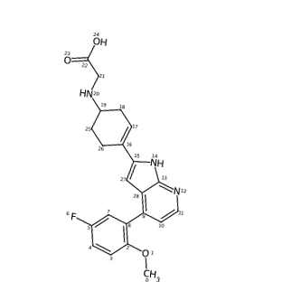 COc1ccc(F)cc1-c1ccnc2[nH]c(C3=CCC(NCC(=O)O)CC3)cc12